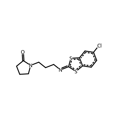 O=C1CCCN1CCCN=c1sc2ccc(Cl)cc2s1